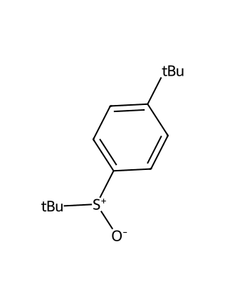 CC(C)(C)c1ccc([S+]([O-])C(C)(C)C)cc1